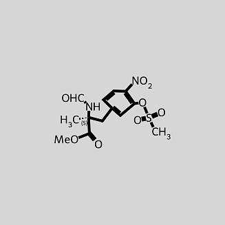 COC(=O)[C@](C)(Cc1ccc([N+](=O)[O-])c(OS(C)(=O)=O)c1)NC=O